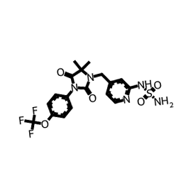 CC1(C)C(=O)N(c2ccc(OC(F)(F)F)cc2)C(=O)N1Cc1ccnc(NS(N)(=O)=O)c1